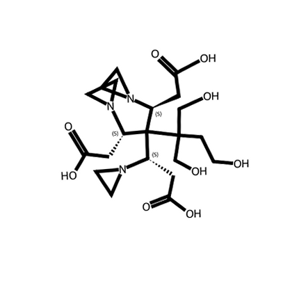 O=C(O)C[C@H](N1CC1)C([C@H](CC(=O)O)N1CC1)([C@H](CC(=O)O)N1CC1)C(CO)(CO)CCO